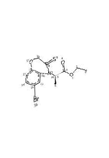 CCOC(=O)[C@@H](C)N1C(=S)COc2ccc(Br)cc21